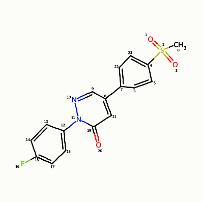 CS(=O)(=O)c1ccc(-c2cnn(-c3ccc(F)cc3)c(=O)c2)cc1